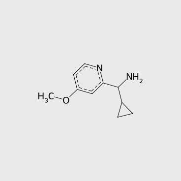 COc1ccnc(C(N)C2CC2)c1